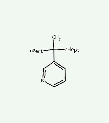 CCCCCCCC(C)(CCCCC)c1cccnc1